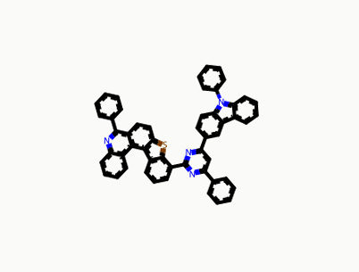 c1ccc(-c2cc(-c3ccc4c(c3)c3ccccc3n4-c3ccccc3)nc(-c3cccc4c3sc3ccc5c(-c6ccccc6)nc6ccccc6c5c34)n2)cc1